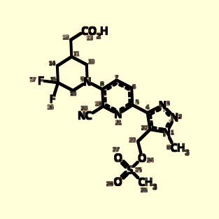 Cn1nnc(-c2ccc(N3CC(CC(=O)O)CC(F)(F)C3)c(C#N)n2)c1COS(C)(=O)=O